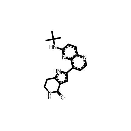 CC(C)(C)Nc1ccc2nccc(-c3cc4c([nH]3)CCNC4=O)c2n1